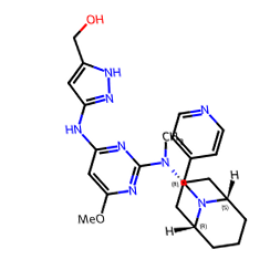 COc1cc(Nc2cc(CO)[nH]n2)nc(N(C)[C@H]2C[C@H]3CCC[C@@H](C2)N3Cc2ccncc2)n1